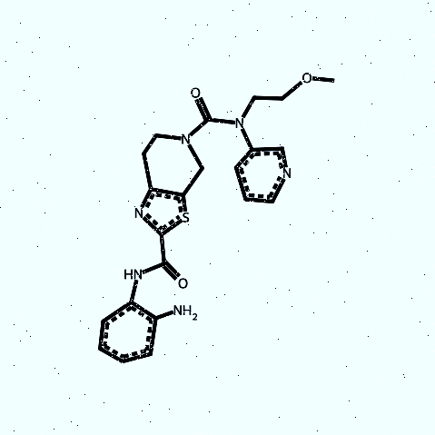 COCCN(C(=O)N1CCc2nc(C(=O)Nc3ccccc3N)sc2C1)c1cccnc1